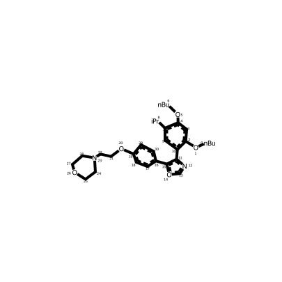 CCCCOc1cc(OCCCC)c(C(C)C)cc1-c1ncoc1-c1ccc(OCCN2CCOCC2)cc1